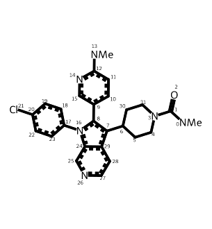 CNC(=O)N1CCC(c2c(-c3ccc(NC)nc3)n(-c3ccc(Cl)cc3)c3cnccc23)CC1